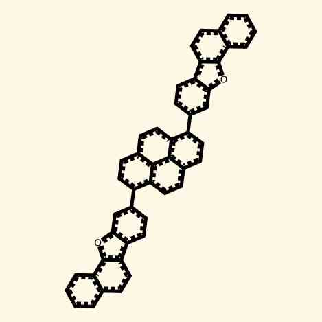 c1ccc2c(c1)ccc1c3ccc(-c4ccc5ccc6c(-c7ccc8c(c7)oc7c9ccccc9ccc87)ccc7ccc4c5c76)cc3oc21